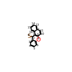 S=c1c2ccccc2oc2ccc3ccccc3c12